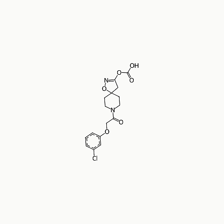 O=C(O)OC1=NOC2(CCN(C(=O)COc3cccc(Cl)c3)CC2)C1